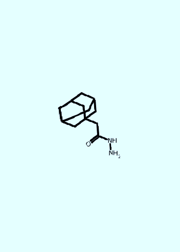 NNC(=O)CC12CC3CC(CC(C3)C1)C2